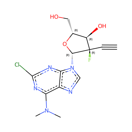 C#C[C@@]1(F)[C@H](O)[C@@H](CO)O[C@H]1n1cnc2c(N(C)C)nc(Cl)nc21